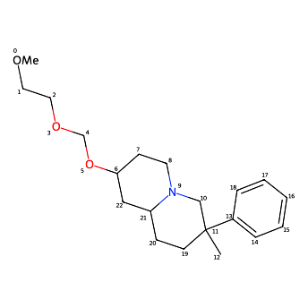 COCCOCOC1CCN2CC(C)(c3ccccc3)CCC2C1